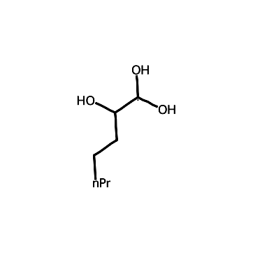 CCCCCC(O)[C](O)O